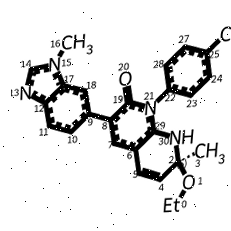 CCO[C@@]1(C)C=Cc2cc(-c3ccc4ncn(C)c4c3)c(=O)n(-c3ccc(Cl)cc3)c2N1